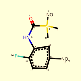 CS(C)(N=O)C(=O)Nc1cc([N+](=O)[O-])ccc1F